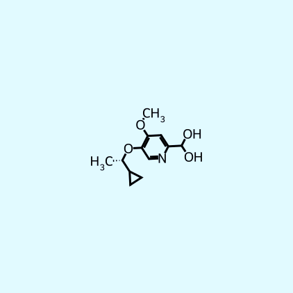 COc1cc(C(O)O)ncc1O[C@@H](C)C1CC1